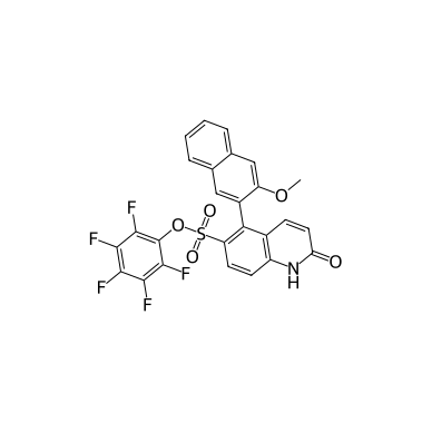 COc1cc2ccccc2cc1-c1c(S(=O)(=O)Oc2c(F)c(F)c(F)c(F)c2F)ccc2[nH]c(=O)ccc12